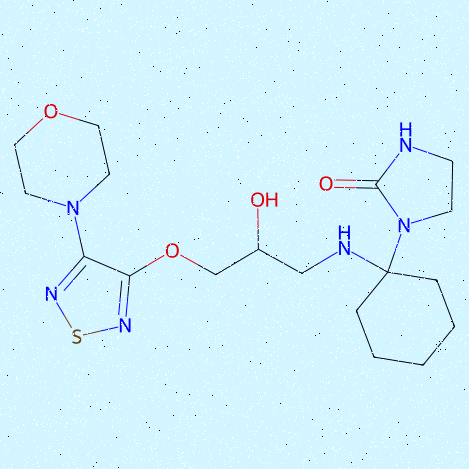 O=C1NCCN1C1(NCC(O)COc2nsnc2N2CCOCC2)CCCCC1